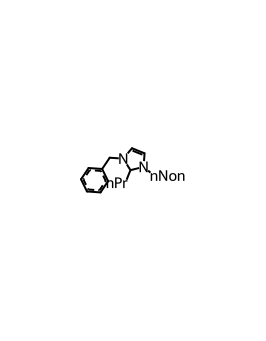 CCCCCCCCCN1C=CN(Cc2ccccc2)C1CCC